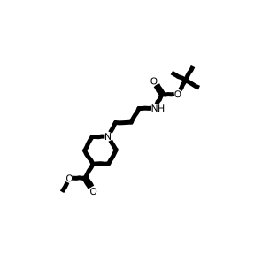 COC(=O)C1CCN(CCCNC(=O)OC(C)(C)C)CC1